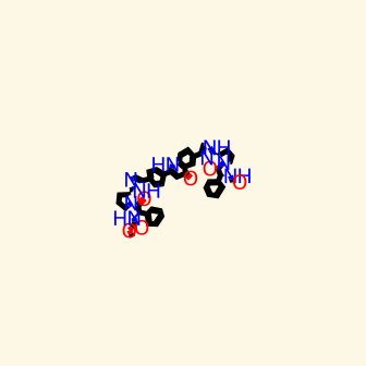 COC(=O)N[C@@H](C(=O)N1CCC[C@H]1c1ncc(-c2ccc(-c3cc(=O)c4cc(-c5c[nH]c([C@@H]6CCCN6C(=O)[C@H](NC=O)c6ccccc6)n5)ccc4[nH]3)cc2)[nH]1)c1ccccc1